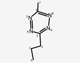 CCCc1nnc(C)nn1